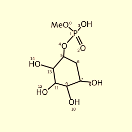 COP(=O)(O)OC1CC(O)C(O)C(O)C1O